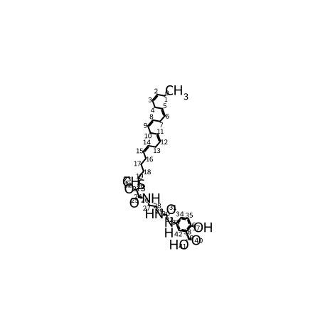 CC/C=C\C/C=C\C/C=C\C/C=C\C/C=C\CCCCSC(OC)C(=O)NCCNC(=O)Nc1ccc(O)c(C(=O)O)c1